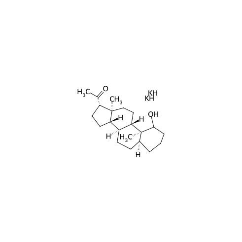 CC(=O)[C@H]1CC[C@H]2[C@@H]3CC[C@@H]4CCCC(O)[C@]4(C)[C@H]3CC[C@]12C.[KH].[KH]